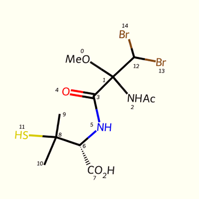 COC(NC(C)=O)(C(=O)N[C@H](C(=O)O)C(C)(C)S)C(Br)Br